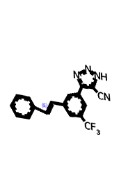 N#Cc1[nH]nnc1-c1cc(/C=C/c2ccccc2)cc(C(F)(F)F)c1